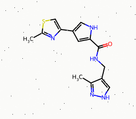 Cc1nc(-c2c[nH]c(C(=O)NCc3c[nH]nc3C)c2)cs1